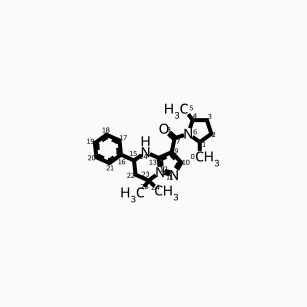 CC1CCC(C)N1C(=O)c1cnn2c1NC(c1ccccc1)CC2(C)C